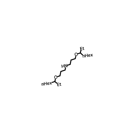 CCCCCCC(CC)OCCCNCCCOC(CC)CCCCCC